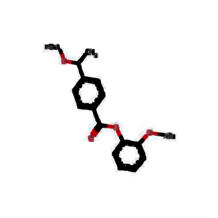 CCCCCCCCOC(C)c1ccc(C(=O)Oc2ccccc2OCCCC)cc1